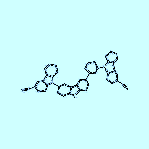 N#Cc1ccc2c(c1)c1ccccc1n2-c1cccc(-c2ccc3sc4ccc(-n5c6ccccc6c6cc(C#N)ccc65)cc4c3c2)c1